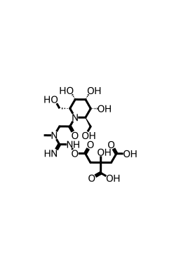 CN(CC(=O)N1[C@H](CO)[C@H](O)[C@H](O)[C@H](O)[C@H]1CO)C(=N)NOC(=O)CC(O)(CC(=O)O)C(=O)O